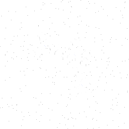 O=P12c3ccccc3-c3cc(-c4ccc(N(c5ccccc5)c5ccccc5)cc4)ccc3N1c1ccc(-c3ccc(N(c4ccccc4)c4ccccc4)cc3)cc1-c1ccccc12